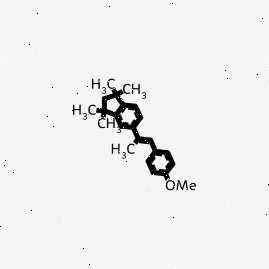 COc1ccc(C=C(C)c2ccc3c(c2)C(C)(C)CC3(C)C)cc1